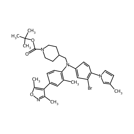 Cc1ccn(-c2ccc(N(CC3CCN(C(=O)OC(C)(C)C)CC3)c3ccc(-c4c(C)noc4C)cc3C)cc2Br)c1